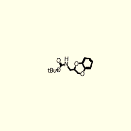 CC(C)(C)OC(=O)NCC1COc2ccccc2O1